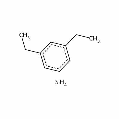 CCc1cccc(CC)c1.[SiH4]